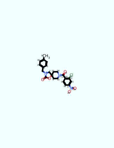 Cc1ccc(CN2CC3(CCN(C(=O)c4ccc([N+](=O)[O-])cc4Cl)CC3)OC2=O)cc1